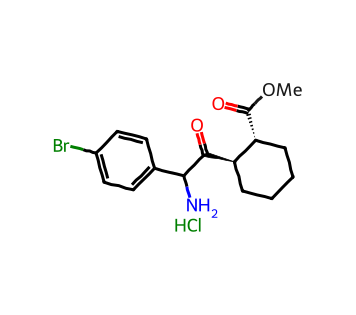 COC(=O)[C@@H]1CCCC[C@H]1C(=O)C(N)c1ccc(Br)cc1.Cl